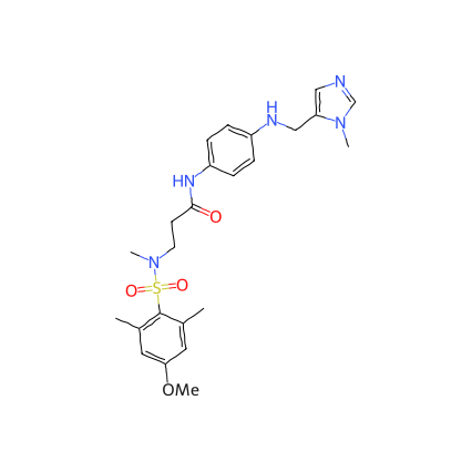 COc1cc(C)c(S(=O)(=O)N(C)CCC(=O)Nc2ccc(NCc3cncn3C)cc2)c(C)c1